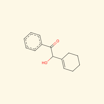 O=C(c1ccccc1)C(O)C1=CCCCC1